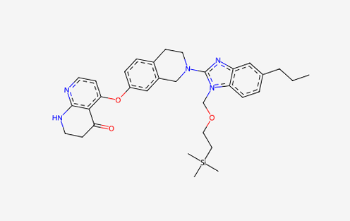 CCCc1ccc2c(c1)nc(N1CCc3ccc(Oc4ccnc5c4C(=O)CCN5)cc3C1)n2COCC[Si](C)(C)C